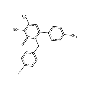 Cc1ccc(-c2cc(C(F)(F)F)c(C#N)c(=O)n2Cc2ccc(C(F)(F)F)cc2)cc1